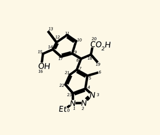 CCn1nnc2c(C)c(C(c3ccc(C)c(CO)c3)C(C)C(=O)O)ccc21